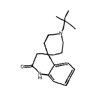 CC(C)(C)N1CCC2(CC1)CC(=O)Nc1ccccc12